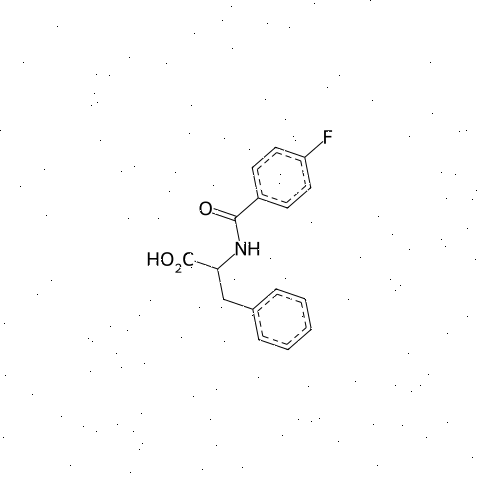 O=C(NC(Cc1ccccc1)C(=O)O)c1ccc(F)cc1